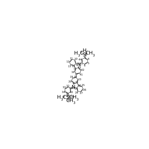 C[SiH](C)c1cccc(-n2c3ccccc3c3cc(-c4ccc5c(c4)c4ccccc4n5-c4cccc([Si](C)(C)C)c4)ccc32)c1